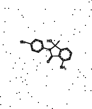 CC(C)(C)c1ccc(N2C(=O)c3c(N)cccc3C2(C)O)cc1